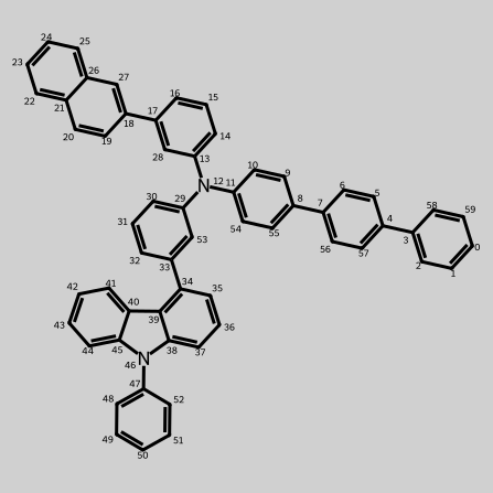 c1ccc(-c2ccc(-c3ccc(N(c4cccc(-c5ccc6ccccc6c5)c4)c4cccc(-c5cccc6c5c5ccccc5n6-c5ccccc5)c4)cc3)cc2)cc1